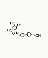 CCc1cc(C(=O)N2Cc3ccc(N4CCN(CCO)CC4)cc3C2)c(O)cc1O